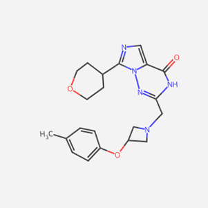 Cc1ccc(OC2CN(Cc3nn4c(C5CCOCC5)ncc4c(=O)[nH]3)C2)cc1